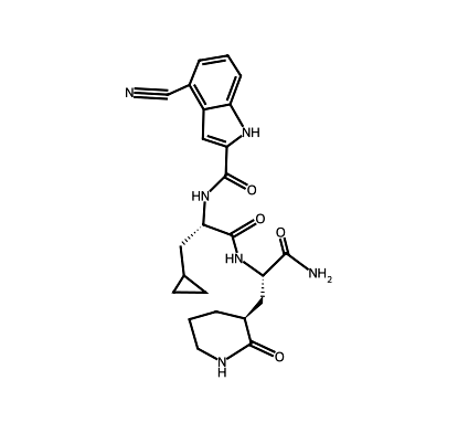 N#Cc1cccc2[nH]c(C(=O)N[C@@H](CC3CC3)C(=O)N[C@@H](C[C@@H]3CCCNC3=O)C(N)=O)cc12